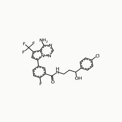 Nc1ncnn2c(-c3ccc(F)c(C(=O)NCCC(O)c4ccc(Cl)cc4)c3)cc(C(F)(F)F)c12